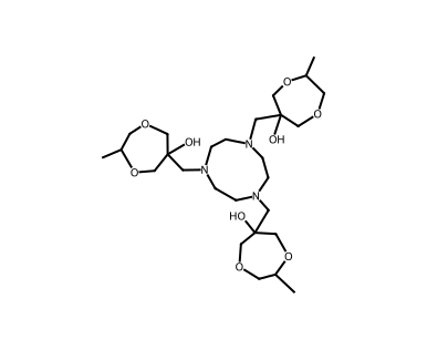 CC1COCC(O)(CN2CCN(CC3(O)COCC(C)OC3)CCN(CC3(O)COCC(C)OC3)CC2)CO1